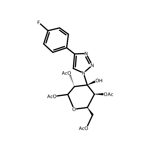 CC(=O)OC[C@H]1OC(OC(C)=O)[C@H](OC(C)=O)[C@](O)(n2cc(-c3ccc(F)cc3)nn2)[C@H]1OC(C)=O